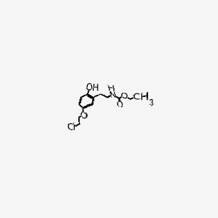 CCOC(=O)NCCc1cc(OCCCl)ccc1O